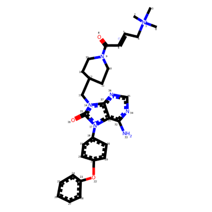 C[N+](C)(C)C/C=C/C(=O)N1CCC(Cn2c(=O)n(-c3ccc(Oc4ccccc4)cc3)c3c(N)ncnc32)CC1